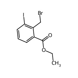 CCOC(=O)c1cccc(I)c1CBr